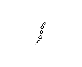 CCCCC[C@H]1CC[C@H](c2ccc(-c3ccc(C=O)cc3)cc2)CC1